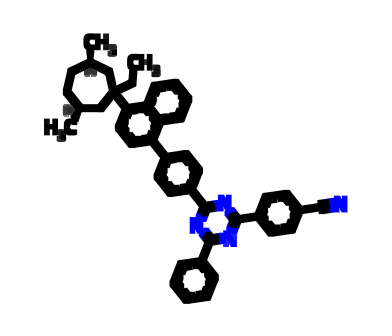 CCC1(c2ccc(-c3ccc(-c4nc(-c5ccccc5)nc(-c5ccc(C#N)cc5)n4)cc3)c3ccccc23)C[C@H](C)CC[C@H](C)C1